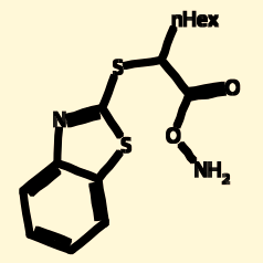 CCCCCCC(Sc1nc2ccccc2s1)C(=O)ON